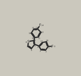 Fc1ccc(-c2ccsc2-c2ccc(F)cc2)cc1